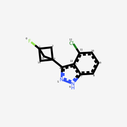 FC12CC(c3n[nH]c4cccc(Cl)c34)(C1)C2